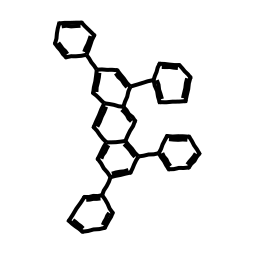 c1ccc(-c2cc(-c3ccccc3)c3cc4c(-c5ccccc5)cc(-c5ccccc5)cc4cc3c2)cc1